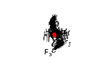 N=C1N[C@H]2C(CN3C(=O)CN(c4ccccc4)C3=O)NC(=N)N3CC(OC(=O)c4cc(C(F)(F)F)ccc4C(F)(F)F)C(O)(O)[C@]23N1